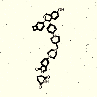 O=C1CC[C@H](N2Cc3cc(N4CCN(CC5CCN(c6ccc([C@@H]7c8ccc(O)cc8CO[C@@H]7c7ccc8c(c7)CC8)cc6)CC5)CC4)ccc3C2=O)C(=O)N1